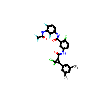 O=C(Nc1ccc(F)c(NC(=O)C(F)F)c1F)c1cc(NC(=O)C2C(c3cc(C(F)(F)F)cc(C(F)(F)F)c3)C2(Cl)Cl)ccc1Cl